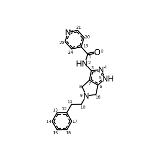 O=C(Nc1n[nH]c2c1CN(CCc1ccccc1)C2)c1ccncc1